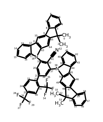 CC1(C)c2ccccc2-c2cc3c4ccccc4n(-c4cc(-c5ccc(C(F)(F)F)cc5C(F)(F)F)cc(-n5c6ccccc6c6cc7c(cc65)C(C)(C)c5ccccc5-7)c4C#N)c3cc21